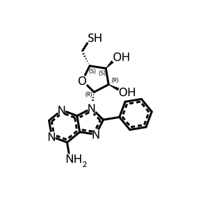 Nc1ncnc2c1nc(-c1ccccc1)n2[C@@H]1O[C@H](CS)[C@@H](O)[C@H]1O